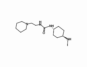 O=C(NCCN1CCCCC1)N[C@H]1CC[C@H](NI)CC1